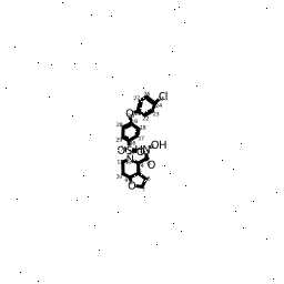 O=C(NO)C1C2CCOC2CCN1S(=O)(=O)c1ccc(Oc2ccc(Cl)cc2)cc1